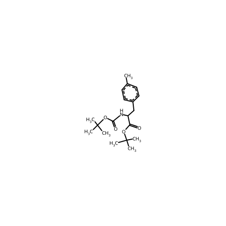 Cc1ccc(CC(NC(=O)OC(C)(C)C)C(=O)OC(C)(C)C)cc1